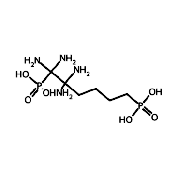 NC(N)(CCCCP(=O)(O)O)C(N)(N)P(=O)(O)O